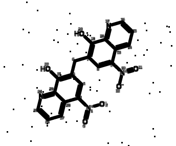 O=[N+]([O-])c1cc(Cc2cc([N+](=O)[O-])c3cccnc3c2O)c(O)c2ncccc12